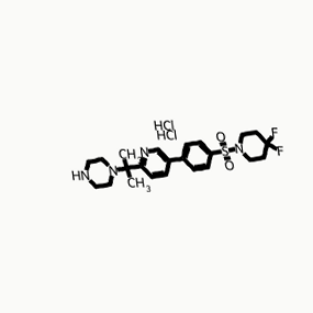 CC(C)(c1ccc(-c2ccc(S(=O)(=O)N3CCC(F)(F)CC3)cc2)cn1)N1CCNCC1.Cl.Cl